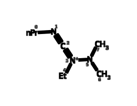 CCCN=C=[N+](CC)N(C)C